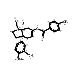 COc1ccc([C@@]23CC=C(OC(=O)c4ccc(C(F)(F)F)cc4)C[C@@H]2N(C)CC3)cc1C